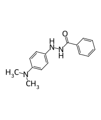 CN(C)c1ccc(NNC(=O)c2ccccc2)cc1